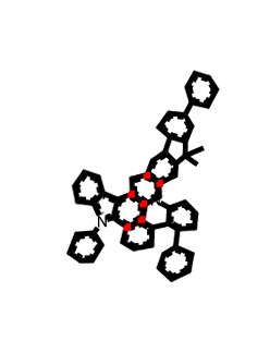 CC1(C)c2cc(-c3ccccc3)ccc2-c2ccc(N(c3ccc4c(c3)c3ccccc3n4-c3ccccc3)c3cccc(-c4ccccc4)c3-c3ccccc3-c3ccccc3)cc21